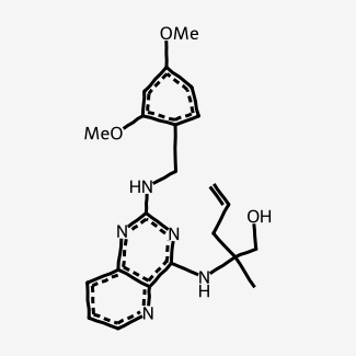 C=CCC(C)(CO)Nc1nc(NCc2ccc(OC)cc2OC)nc2cccnc12